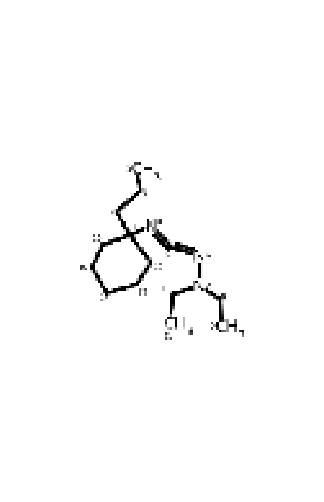 CCCC1(N=C=NN(CC)CC)CCCCC1